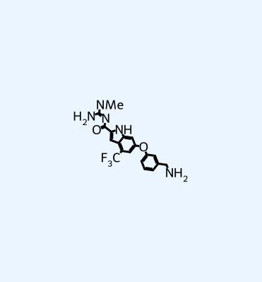 CNC(N)=NC(=O)c1cc2c(C(F)(F)F)cc(Oc3cccc(CN)c3)cc2[nH]1